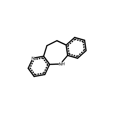 c1ccc2c(c1)CCc1ncccc1N2